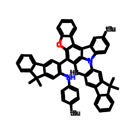 CC(C)(C)c1ccc(Nc2cc3c(cc2-c2c4c5c(c6cc(C(C)(C)C)ccc6n5-c5cc6c(cc5B4)-c4ccccc4C6(C)C)c4c2oc2ccccc24)-c2ccccc2C3(C)C)cc1